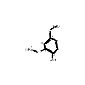 CCCCOc1ccc(S)c(OCCCC)c1